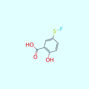 O=C(O)c1cc(SF)ccc1O